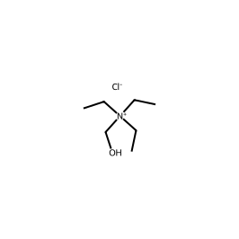 CC[N+](CC)(CC)CO.[Cl-]